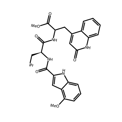 COC(=O)C(Cc1cc(=O)[nH]c2ccccc12)NC(=O)[C@H](CC(C)C)NC(=O)c1cc2c(OC)cccc2[nH]1